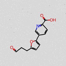 O=CCCc1ccc(-c2ccc(C(=O)O)nc2)o1